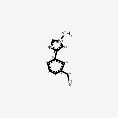 Cn1cnc(-c2[c]ccc(CCl)c2)c1